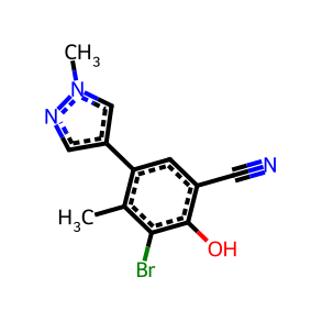 Cc1c(-c2cnn(C)c2)cc(C#N)c(O)c1Br